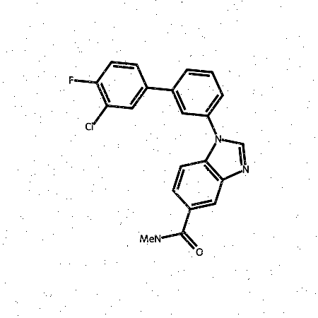 CNC(=O)c1ccc2c(c1)ncn2-c1cccc(-c2ccc(F)c(Cl)c2)c1